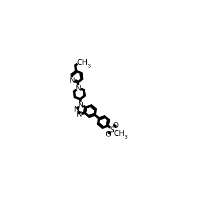 CCc1ccc(N2CCC(n3nnc4cc(-c5ccc(S(C)(=O)=O)cc5)ccc43)CC2)nc1